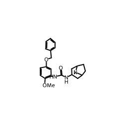 COc1ccc(OCc2ccccc2)cc1NC(=O)NC1CC2CCC(C1)N2C